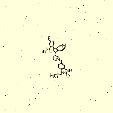 CC(C)N(C)C(=O)c1cc(F)ccc1-n1cc([C@H]2CCCN(Cc3ccc4c(c3)[nH]c(=O)n4CCO)C2)c2ccncc21